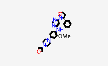 COc1cc(N2CCN(C3COC3)CC2)ccc1Nc1cc(N2OCC[C@@H]2c2ccccc2)ncn1